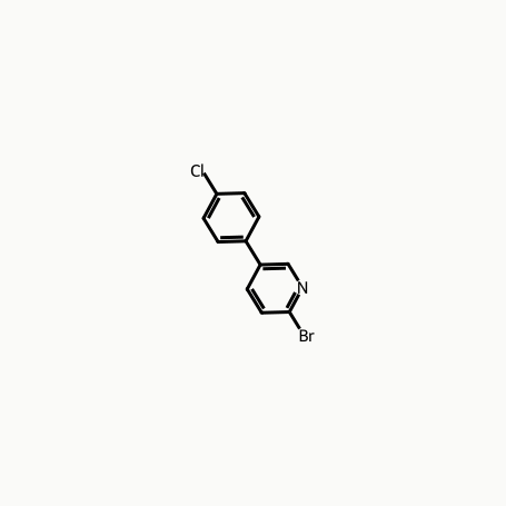 Clc1ccc(-c2ccc(Br)nc2)cc1